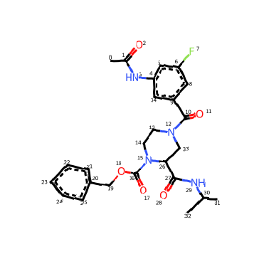 CC(=O)Nc1cc(F)cc(C(=O)N2CCN(C(=O)OCc3ccccc3)C(C(=O)NC(C)C)C2)c1